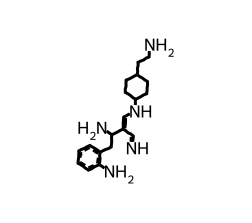 N=C/C(=C\NC1CCC(CCN)CC1)C(N)Cc1ccccc1N